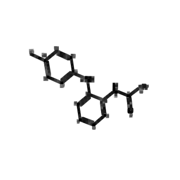 CCCC(=O)Nc1ccccc1Nc1ccc(C)cc1